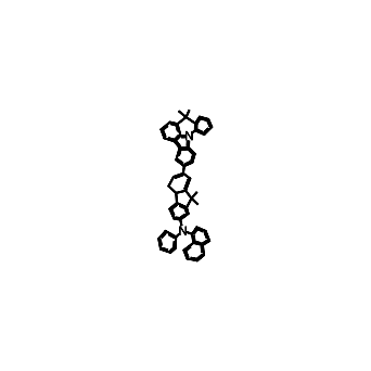 CC1(C)C2=CC(c3ccc4c(c3)c3cccc5c3n4-c3ccccc3C5(C)C)=CCC2c2ccc(N(c3ccccc3)c3cccc4ccccc34)cc21